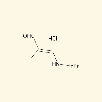 CCCNC=C(C)C=O.Cl